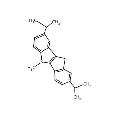 CC(C)c1ccc2c(c1)Cc1c-2n(C)c2ccc(C(C)C)cc12